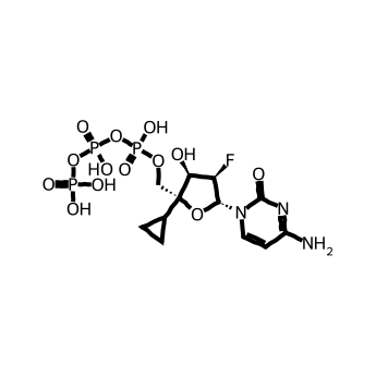 Nc1ccn([C@@H]2O[C@@](COP(=O)(O)OP(=O)(O)OP(=O)(O)O)(C3CC3)[C@@H](O)[C@H]2F)c(=O)n1